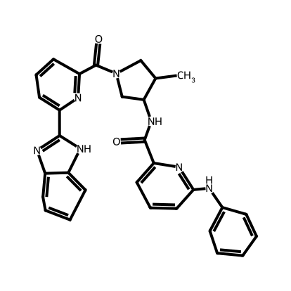 CC1CN(C(=O)c2cccc(-c3nc4ccccc4[nH]3)n2)CC1NC(=O)c1cccc(Nc2ccccc2)n1